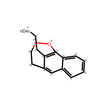 CCCCCCCCCCCCc1c2cc3ccccc3c1OOCC2